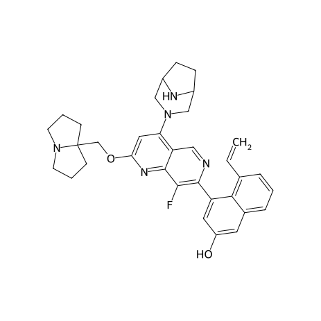 C=Cc1cccc2cc(O)cc(-c3ncc4c(N5CC6CCC(C5)N6)cc(OCC56CCCN5CCC6)nc4c3F)c12